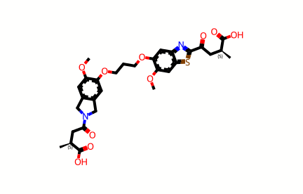 COc1cc2c(cc1OCCCOc1cc3nc(C(=O)C[C@H](C)C(=O)O)sc3cc1OC)CN(C(=O)C[C@H](C)C(=O)O)C2